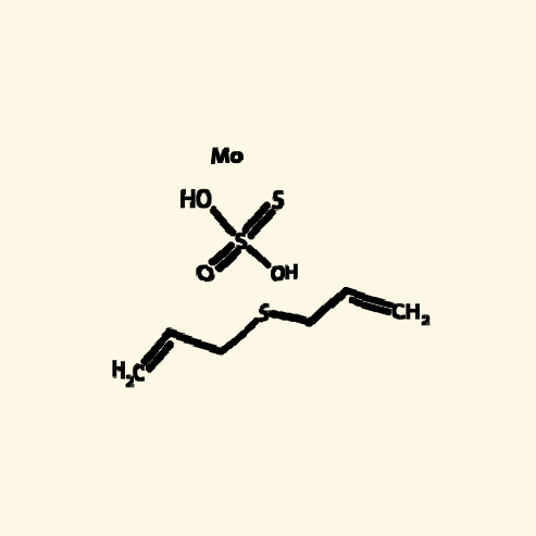 C=CCSCC=C.O=S(O)(O)=S.[Mo]